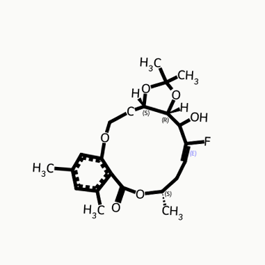 Cc1cc(C)c2c(c1)OCC[C@@H]1OC(C)(C)O[C@@H]1C(O)/C(F)=C\C[C@H](C)OC2=O